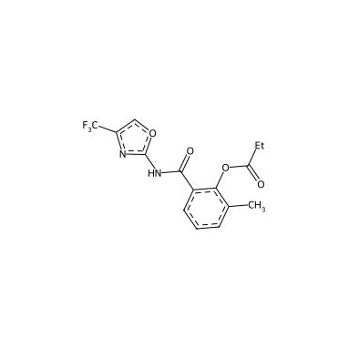 CCC(=O)Oc1c(C)cccc1C(=O)Nc1nc(C(F)(F)F)co1